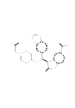 CC(=O)c1ccc2c(c1)/C(=C(/NC1CCN(CC(=O)O)CC1)c1ccc3c(c1)OCO3)C(=O)N2